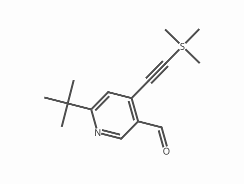 CC(C)(C)c1cc(C#CS(C)(C)C)c(C=O)cn1